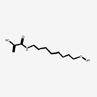 C=C(C#N)C(=O)NCCCCCCCCOCCC